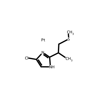 CSCC(C)c1nc(Cl)c[nH]1.[Pt]